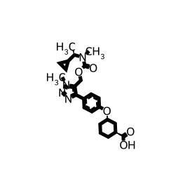 C[C@@H](C1CC1)N(C)C(=O)OCc1c(-c2ccc(O[C@H]3CCC[C@H](C(=O)O)C3)cc2)nnn1C